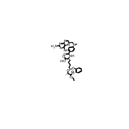 CCOC(=O)[C@H](C)OP(=O)(CCCC[C@H](NC(=O)c1ccc(N(C)Cc2cnc3nc(N)nc(N)c3n2)cc1)C(=O)O)Oc1ccccc1